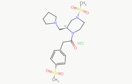 CS(=O)(=O)c1ccc(CC(=O)N2CCN(S(C)(=O)=O)C[C@@H]2CN2CCCC2)cc1.Cl